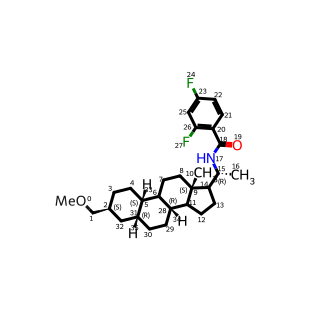 COC[C@H]1CC[C@@H]2C3CC[C@@]4(C)C(CCC4[C@@H](C)NC(=O)c4ccc(F)cc4F)[C@@H]3CC[C@@H]2C1